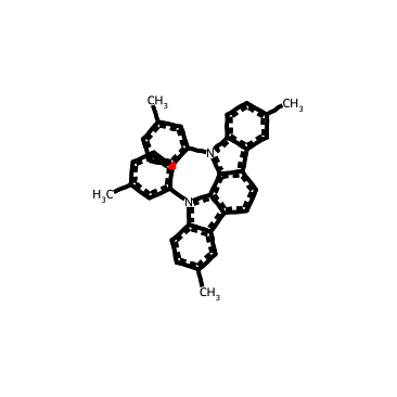 Cc1cccc(-n2c3ccc(C)cc3c3ccc4c5cc(C)ccc5n(-c5cccc(C)c5)c4c32)c1